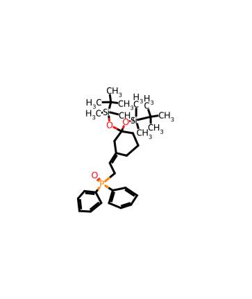 CC(C)(C)[Si](C)(C)OC1(O[Si](C)(C)C(C)(C)C)CCC/C(=C\CP(=O)(c2ccccc2)c2ccccc2)C1